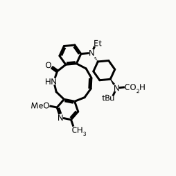 CCN(c1cccc2c1CC=CCc1cc(C)nc(OC)c1CNC2=O)[C@H]1CC[C@H](N(C(=O)O)C(C)(C)C)CC1